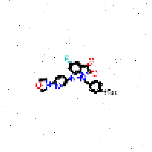 CC(C)(C)c1ccc(CN2C(=O)C(=O)c3cc(F)cc(Nc4ccc(N5CCOCC5)nc4)c32)cc1